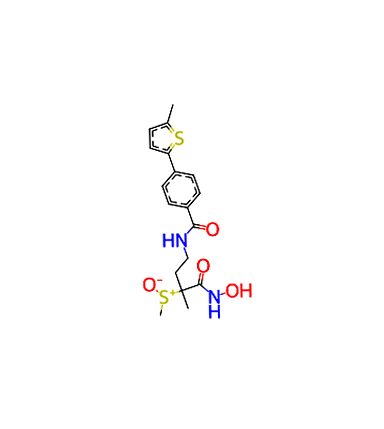 Cc1ccc(-c2ccc(C(=O)NCCC(C)(C(=O)NO)[S+](C)[O-])cc2)s1